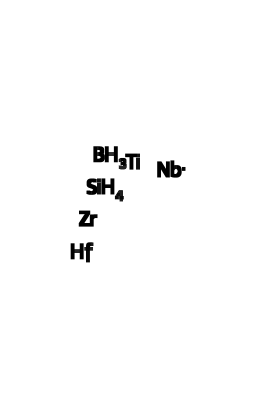 B.[Hf].[Nb].[SiH4].[Ti].[Zr]